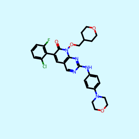 O=c1c(-c2c(F)cccc2Cl)cc2cnc(Nc3ccc(N4CCOCC4)cc3)nc2n1OCC1CCOCC1